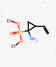 C=CC1CC1(N)P(=O)(OCC)OCC